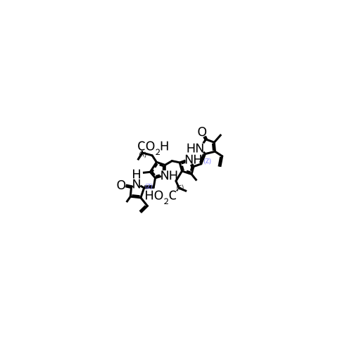 C=CC1=C(C)C(=O)N/C1=C\c1[nH]c(Cc2[nH]c(/C=C3\NC(=O)C(C)=C3C=C)c(C)c2C[C@H](C)C(=O)O)c(C[C@@H](C)C(=O)O)c1C